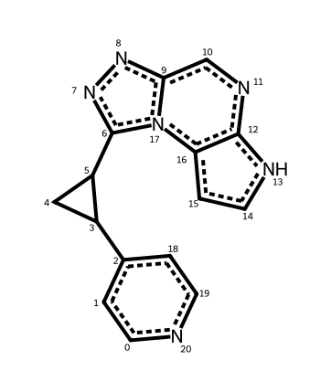 c1cc(C2CC2c2nnc3cnc4[nH]ccc4n23)ccn1